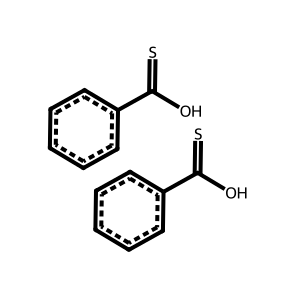 OC(=S)c1ccccc1.OC(=S)c1ccccc1